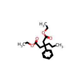 CCCC(CC(=O)OCC)(CC(=O)OCC)c1ccccc1